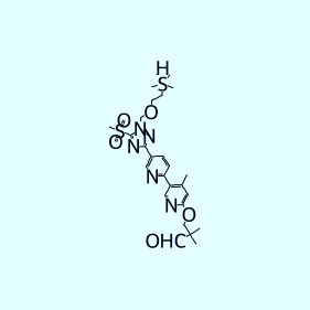 Cc1cc(OCC(C)(C)C=O)ncc1-c1ccc(-c2nc(S(C)(=O)=O)n(COCC[SH](C)(C)(C)C)n2)cn1